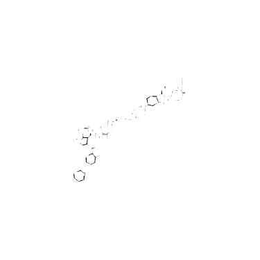 O=C1CCC(N2C(=O)c3ccc(N4CCN(CCCC(=O)N5CCC(Nc6ncnc7[nH]cc(C(=O)c8ccc(Oc9ccccc9)cc8Cl)c67)CC5)CC4)cc3C2=O)C(=O)N1